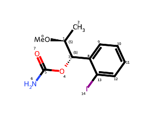 CO[C@@H](C)[C@@H](OC(N)=O)c1ccccc1I